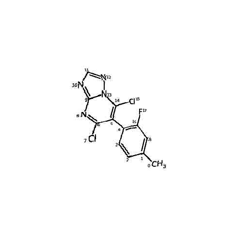 Cc1ccc(-c2c(Cl)nc3ncnn3c2Cl)c(F)c1